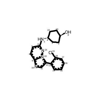 O[C@H]1CC[C@H](Nc2ccc3ncc(-c4ccccc4Cl)n3n2)CC1